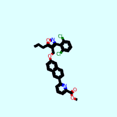 CCCc1onc(-c2c(Cl)cccc2Cl)c1COc1ccc2cc(-c3cccc(C(=O)OC)n3)ccc2c1